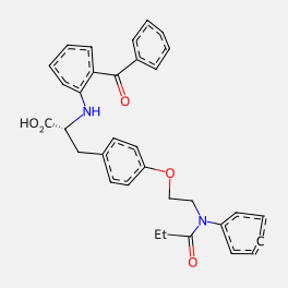 CCC(=O)N(CCOc1ccc(C[C@@H](Nc2ccccc2C(=O)c2ccccc2)C(=O)O)cc1)c1ccccc1